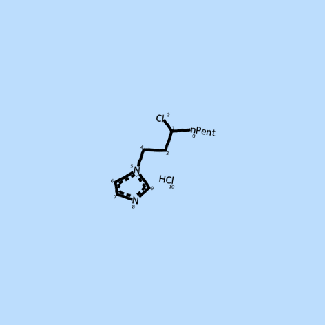 CCCCCC(Cl)CCn1ccnc1.Cl